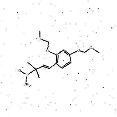 COCOc1ccc(/C=C/C(C)(C)[S+](N)[O-])c(OCOC)c1